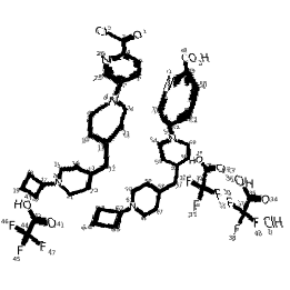 Cl.O=C(Cl)c1ccc(N2CCC(CC3CCN(C4CCC4)CC3)CC2)cn1.O=C(O)C(F)(F)F.O=C(O)C(F)(F)F.O=C(O)C(F)(F)F.O=C(O)c1ccc(N2CCC(CC3CCN(C4CCC4)CC3)CC2)cn1